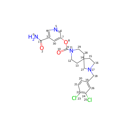 NC(=O)c1cncc(OC(=O)N2CCC3(CCN(Cc4ccc(Cl)c(Cl)c4)C3)CC2)c1